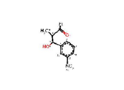 CCC(=O)C(C)C(O)c1cccc([N+](=O)[O-])c1